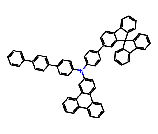 c1ccc(-c2ccc(-c3ccc(N(c4ccc(-c5ccc6c(c5)C5(c7ccccc7-c7ccccc75)c5ccccc5-6)cc4)c4ccc5c6ccccc6c6ccccc6c5c4)cc3)cc2)cc1